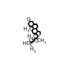 C[C@H](CCC(C)(C)O)[C@H]1CCC2C3CC=C4CC(=O)CC[C@]4(C)C3CC[C@@]21C